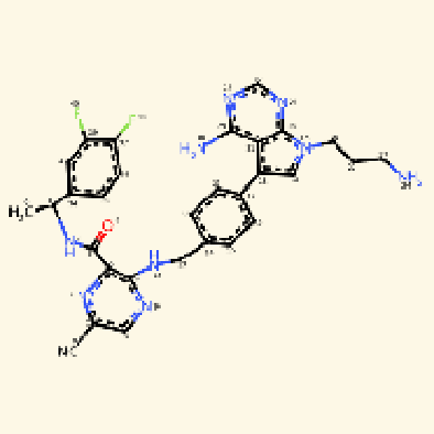 C[C@H](NC(=O)c1nc(C#N)cnc1NCc1ccc(-c2cn(CCCN)c3ncnc(N)c23)cc1)c1ccc(F)c(F)c1